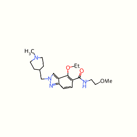 CCOc1c(C(=O)NCCOC)ccc2nn(CC3CCN(C)CC3)cc12